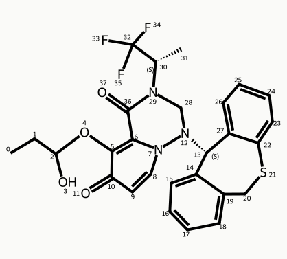 CCC(O)Oc1c2n(ccc1=O)N([C@H]1c3ccccc3CSc3ccccc31)CN([C@@H](C)C(F)(F)F)C2=O